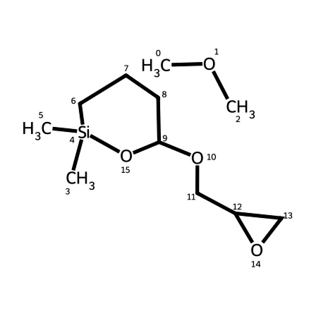 COC.C[Si]1(C)CCCC(OCC2CO2)O1